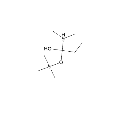 CCC(O)(O[Si](C)(C)C)[SiH](C)C